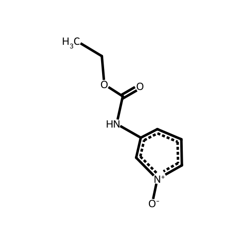 CCOC(=O)Nc1ccc[n+]([O-])c1